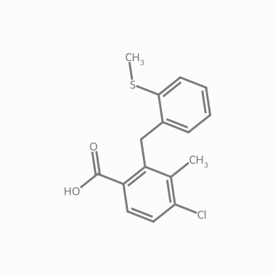 CSc1ccccc1Cc1c(C(=O)O)ccc(Cl)c1C